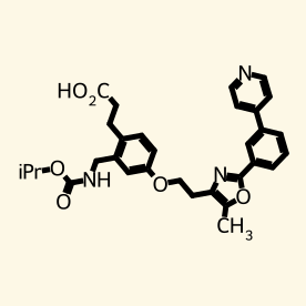 Cc1oc(-c2cccc(-c3ccncc3)c2)nc1CCOc1ccc(CCC(=O)O)c(CNC(=O)OC(C)C)c1